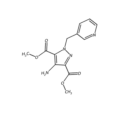 COC(=O)c1nn(Cc2cccnc2)c(C(=O)OC)c1N